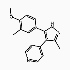 COc1ccc(-c2[nH]nc(C)c2-c2ccncc2)cc1C